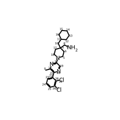 Cc1nc(N2CCC(CN)(CC3CCCCC3)CC2)cnc1-c1cccc(Cl)c1Cl